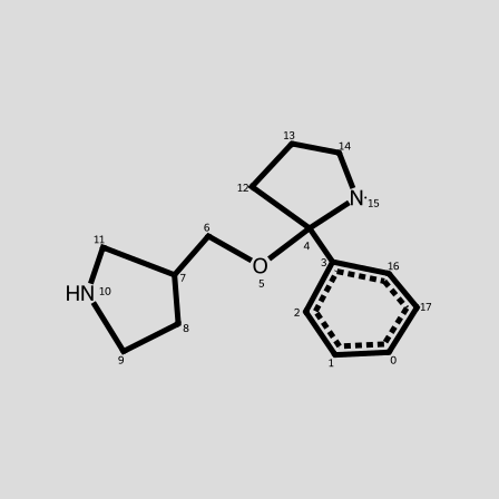 c1ccc(C2(OCC3CCNC3)CCC[N]2)cc1